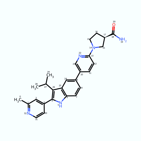 Cc1cc(-c2[nH]c3ccc(-c4ccc(N5CC[C@@H](C(N)=O)C5)nc4)cc3c2C(C)C)ccn1